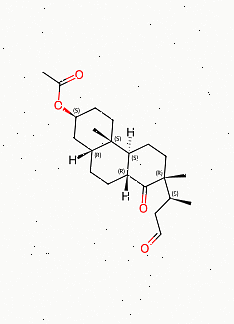 CC(=O)O[C@H]1CC[C@@]2(C)[C@H](CC[C@H]3C(=O)[C@@](C)([C@@H](C)CC=O)CC[C@@H]32)C1